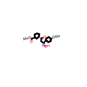 COC(=O)c1cccc([C@H]2C/C(=N/O)c3ccc(OC)cc3O2)c1